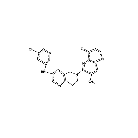 Cc1cc2nccc(=O)n2nc1N1CCc2ncc(Nc3cncc(Cl)c3)cc2C1